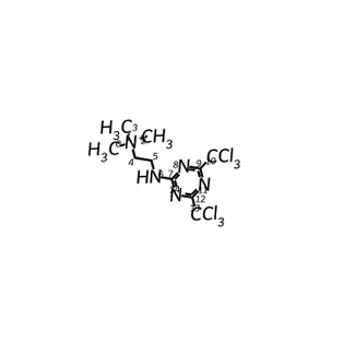 C[N+](C)(C)CCNc1nc(C(Cl)(Cl)Cl)nc(C(Cl)(Cl)Cl)n1